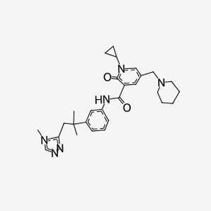 Cn1cnnc1CC(C)(C)c1cccc(NC(=O)c2cc(CN3CCCCC3)cn(C3CC3)c2=O)c1